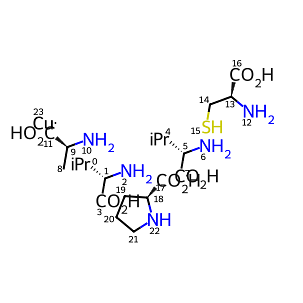 CC(C)[C@H](N)C(=O)O.CC(C)[C@H](N)C(=O)O.C[C@H](N)C(=O)O.N[C@@H](CS)C(=O)O.O=C(O)[C@@H]1CCCN1.[Cu]